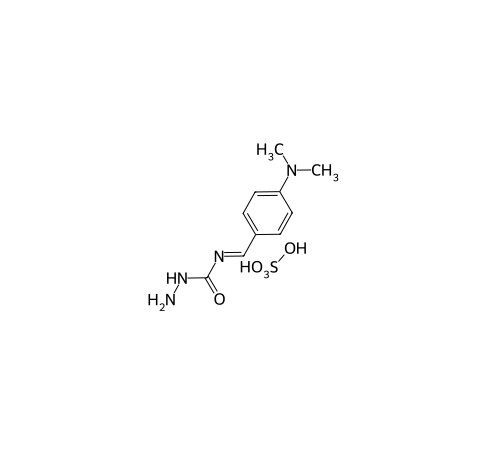 CN(C)c1ccc(C=NC(=O)NN)cc1.O=S(=O)(O)O